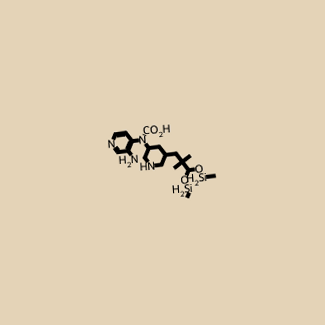 C[SiH2]OC(O[SiH2]C)C(C)(C)CC1CNCC(N(C(=O)O)c2ccncc2N)C1